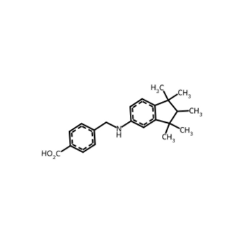 CC1C(C)(C)c2ccc(NCc3ccc(C(=O)O)cc3)cc2C1(C)C